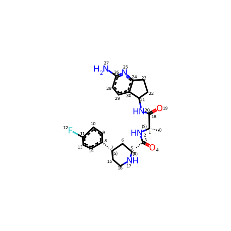 C[C@H](NC(=O)[C@H]1C[C@@H](c2ccc(F)cc2)CCN1)C(=O)NC1CCc2nc(N)ccc21